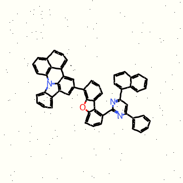 c1ccc(-c2cc(-c3cccc4ccccc34)nc(-c3cccc4oc5c(-c6cc7c8cccc9cccc(c98)n8c9ccccc9c(c6)c78)cccc5c34)n2)cc1